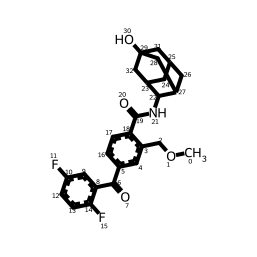 COCc1cc(C(=O)c2cc(F)ccc2F)ccc1C(=O)NC1C2CC3CC1CC(O)(C3)C2